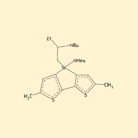 CCCCCC[Si]1(CC(CC)CCCC)c2cc(C)sc2-c2sc(C)cc21